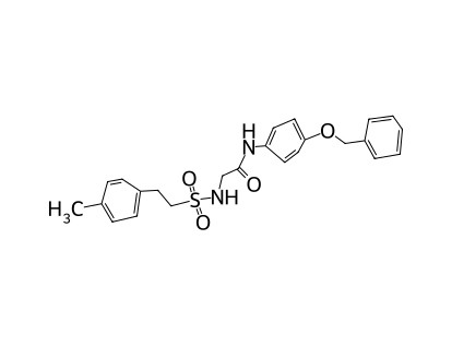 Cc1ccc(CCS(=O)(=O)NCC(=O)Nc2ccc(OCc3ccccc3)cc2)cc1